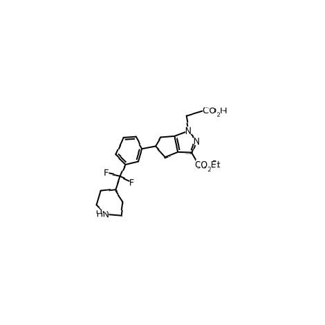 CCOC(=O)c1nn(CC(=O)O)c2c1CC(c1cccc(C(F)(F)C3CCNCC3)c1)C2